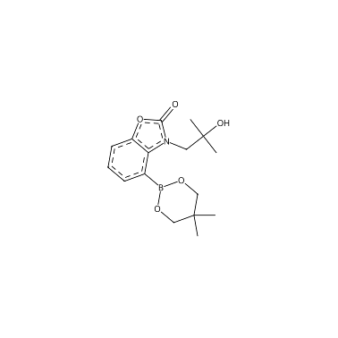 CC(C)(O)Cn1c(=O)oc2cccc(B3OCC(C)(C)CO3)c21